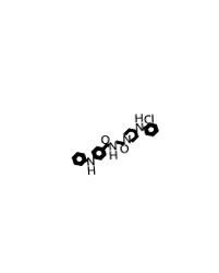 O=C(NCC(=O)N1CCC(Nc2ccccc2Cl)CC1)c1ccc(Nc2ccccc2)cc1